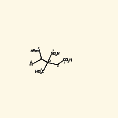 CCCCCC(CC)C(CC(=O)O)(C(=O)O)S(=O)(=O)O